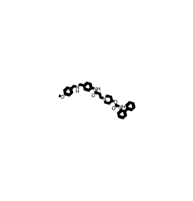 COc1ccc(CNCc2ccc(NC(=O)CCN3CCC(OC(=O)Nc4ccccc4-c4ccccc4)CC3)cc2)cc1